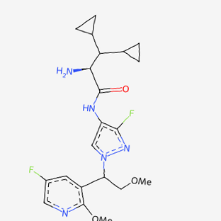 COCC(c1cc(F)cnc1OC)n1cc(NC(=O)[C@@H](N)C(C2CC2)C2CC2)c(F)n1